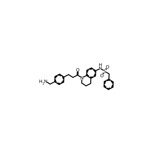 NCc1ccc(CCC(=O)N2CCCc3cc(NS(=O)(=O)Cc4ccccc4)ccc32)cc1